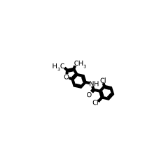 Cc1oc2ccc(NC(=O)c3c(Cl)cccc3Cl)cc2c1C